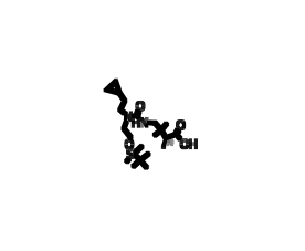 C[C@H](C(=O)O)C(C)(C)CNC(=O)N(CCO[Si](C)(C)C(C)(C)C)CCC1CC1